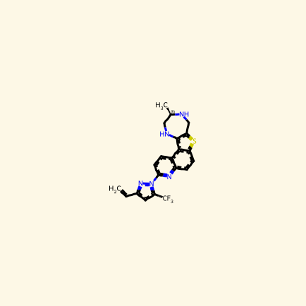 C=Cc1cc(C(F)(F)F)n(-c2ccc3c(ccc4sc5c(c43)NC[C@@H](C)NC5)n2)n1